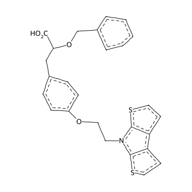 O=C(O)C(Cc1ccc(OCCn2c3sccc3c3ccsc32)cc1)OCc1ccccc1